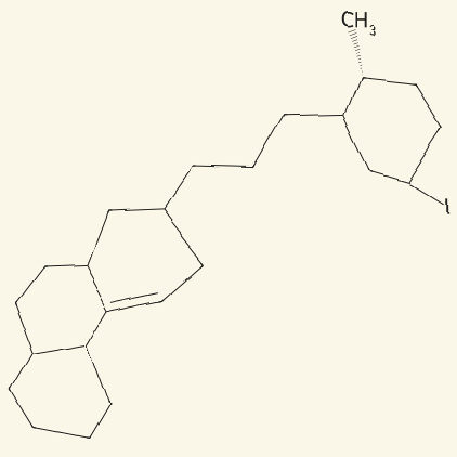 C[C@@H]1CCC(I)CC1CCCC1CC=C2C(CCC3CCCCC23)C1